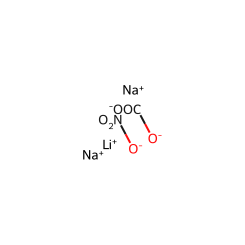 O=C([O-])[O-].O=[N+]([O-])[O-].[Li+].[Na+].[Na+]